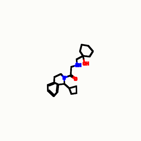 O=C(CNCC1(O)CCCCC1)N1CCc2ccccc2C1C1CCC1